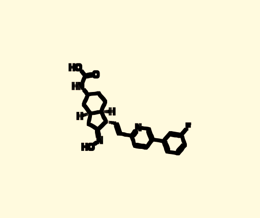 O=C(O)NC1CC[C@@H]2[C@@H](CC(=NO)[C@H]2C=Cc2ccc(-c3cccc(F)c3)cn2)C1